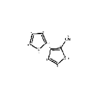 N#Cc1cccs1.c1ccsc1